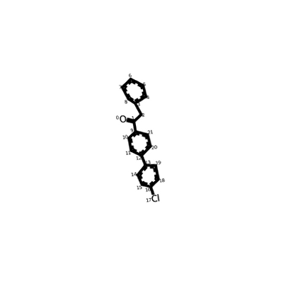 O=C(Cc1ccccc1)c1ccc(-c2ccc(Cl)cc2)cc1